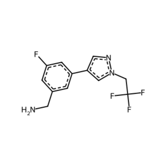 NCc1cc(F)cc(-c2cnn(CC(F)(F)F)c2)c1